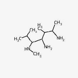 CNC(C(C)C)C(N)C(C)C(C)N